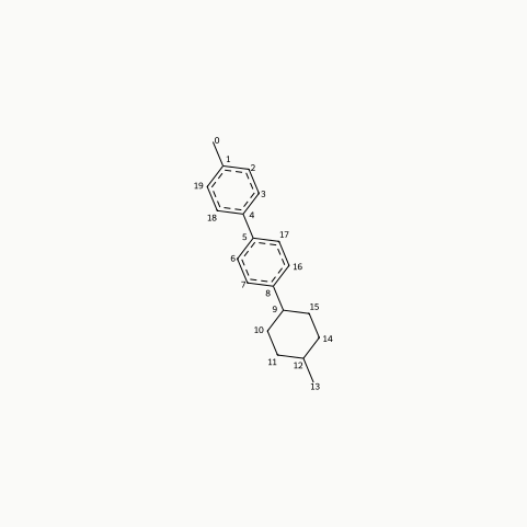 Cc1ccc(-c2ccc(C3CCC(C)CC3)cc2)cc1